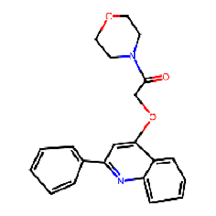 O=C(COc1cc(-c2ccccc2)nc2ccccc12)N1CCOCC1